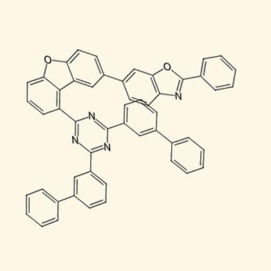 c1ccc(-c2cccc(-c3nc(-c4cccc(-c5ccccc5)c4)nc(-c4cccc5oc6ccc(-c7ccc8nc(-c9ccccc9)oc8c7)cc6c45)n3)c2)cc1